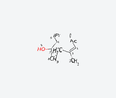 CC(=O)C=C(C)C.CC(C)CC(C)O